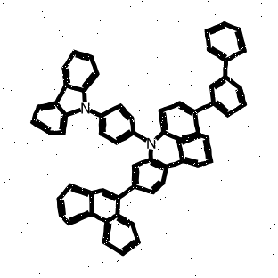 c1ccc(-c2cccc(-c3ccc(N(c4ccc(-n5c6ccccc6c6ccccc65)cc4)c4cc(-c5cc6ccccc6c6ccccc56)ccc4-c4ccccc4)cc3)c2)cc1